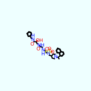 CC(c1cccc2ccccc12)N1CCC(CN(CC(=O)NCC(=O)NCC(O)C(=O)NCc2ccccc2)[SH](=O)=O)CC1